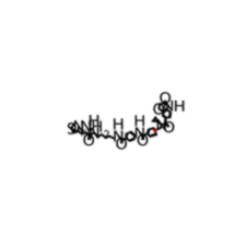 N[C@@H](Cc1cscn1)C(=O)NCCCCCNC(=O)c1ccc(NC(=O)c2ccc(CN(C(=O)c3ccc4c(c3)OCC(=O)N4)C3CC3)cc2)cc1